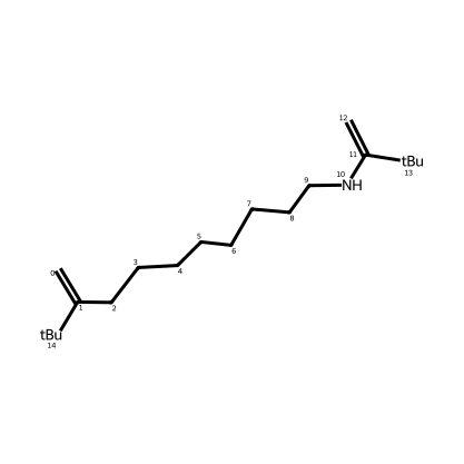 C=C(CCCCCCCCNC(=C)C(C)(C)C)C(C)(C)C